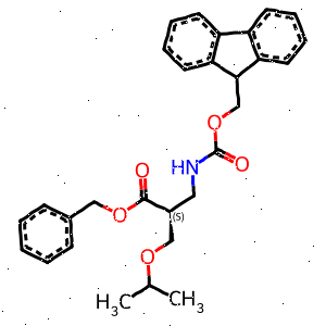 CC(C)OC[C@H](CNC(=O)OCC1c2ccccc2-c2ccccc21)C(=O)OCc1ccccc1